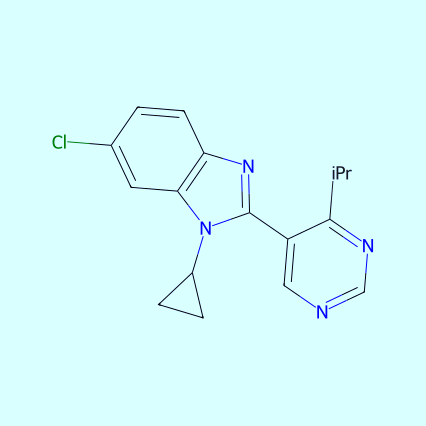 CC(C)c1ncncc1-c1nc2ccc(Cl)cc2n1C1CC1